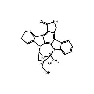 C[C@]12OC(C[C@]1(O)CO)n1c3c(c4c5c(c6c7ccccc7n2c6c41)CNC5=O)=CCCC=3